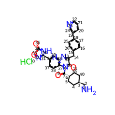 Cl.NC[C@H]1CC[C@H](C(=O)N(C(=O)[C@@H](N)Cc2ccc(-c3cccnc3)cc2)c2ccc(-c3noc(=O)[nH]3)cc2)CC1